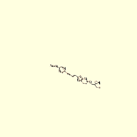 CNc1cnc(C#C/C=C/c2nc3ccc(OCC(O)CF)nc3s2)cn1